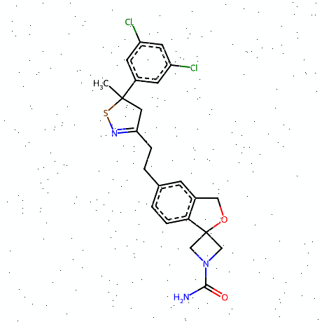 CC1(c2cc(Cl)cc(Cl)c2)CC(CCc2ccc3c(c2)COC32CN(C(N)=O)C2)=NS1